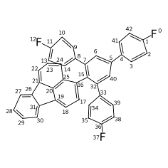 Fc1ccc(-c2cc(-c3ccc(F)cc3)c(-c3ccc4c5c(cccc35)-c3ccccc3-4)c(-c3ccc(F)cc3)c2)cc1